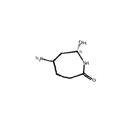 NC1CCC(=O)N[C@@H](O)C1